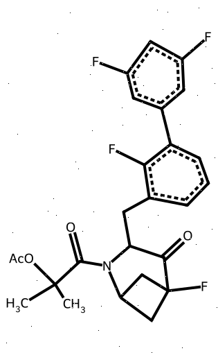 CC(=O)OC(C)(C)C(=O)N1C2CC(F)(C2)C(=O)C1Cc1cccc(-c2cc(F)cc(F)c2)c1F